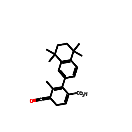 CC1=C(c2ccc3c(c2)C(C)(C)CCC3(C)C)C(C(=O)O)=CCC1=C=O